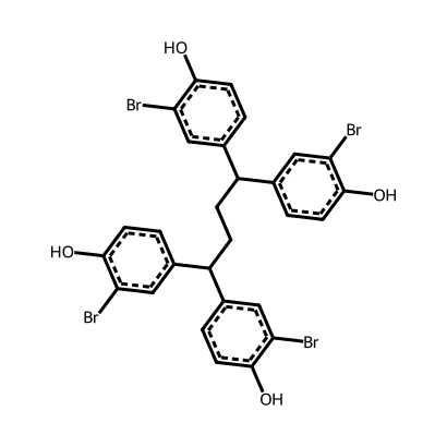 Oc1ccc(C(CCC(c2ccc(O)c(Br)c2)c2ccc(O)c(Br)c2)c2ccc(O)c(Br)c2)cc1Br